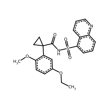 CCOc1ccc(OC)c(C2(C(=O)NS(=O)(=O)c3cccc4ncccc34)CC2)c1